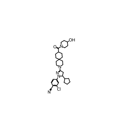 N#Cc1ccc(N2N=C(N3CCC4(CCC(C(=O)N5CCC(O)CC5)CC4)CC3)CC2C2CCCC2)cc1Cl